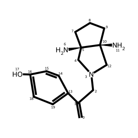 C=C(CN1C[C@]2(N)CCC[C@]2(N)C1)c1ccc(O)cc1